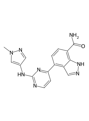 Cn1cc(Nc2nccc(-c3ccc(C(N)=O)c4[nH]ncc34)n2)cn1